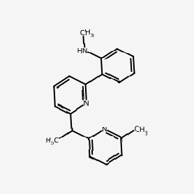 CNc1ccccc1-c1cccc(C(C)c2cccc(C)n2)n1